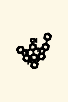 N#Cc1cc(-n2c3ccccc3c3ccc(-c4ccccc4)cc32)c(-c2cc(F)cc(F)c2)c(-n2c3ccccc3c3ccc(-c4ccccc4)cc32)c1